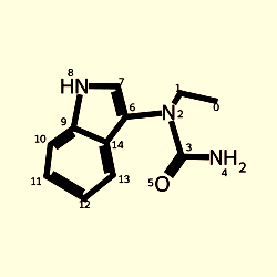 CCN(C(N)=O)c1c[nH]c2ccccc12